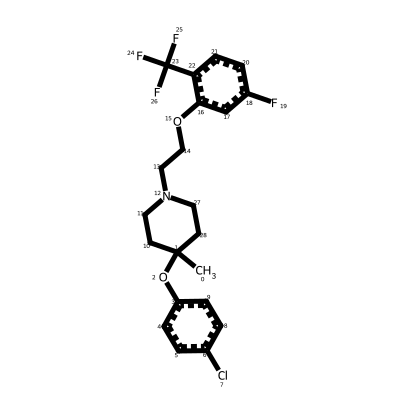 CC1(Oc2ccc(Cl)cc2)CCN(CCOc2cc(F)ccc2C(F)(F)F)CC1